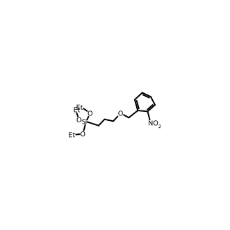 CCO[Si](CCCOCc1ccccc1[N+](=O)[O-])(OCC)OCC